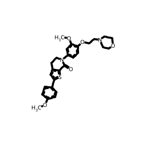 COc1ccc(-c2cc3c(s2)C(=O)N(c2ccc(OCCN4CCOCC4)c(OC)c2)CC3)cc1